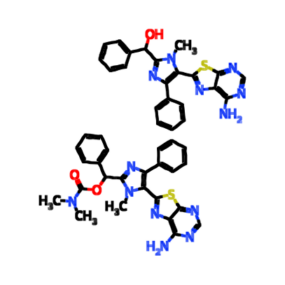 CN(C)C(=O)OC(c1ccccc1)c1nc(-c2ccccc2)c(-c2nc3c(N)ncnc3s2)n1C.Cn1c(C(O)c2ccccc2)nc(-c2ccccc2)c1-c1nc2c(N)ncnc2s1